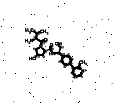 Cc1ncncc1-c1ccc([C@H](CO)NC(=O)[C@@H]2C[C@@H](O)CN2C(=O)[C@@H](N)C(C)C)cc1